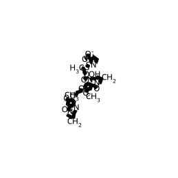 C=C1CC2C=Nc3cc(OCCCOc4cc5c(cc4OC)C(=O)N4CC(=C)CC4C(O)N5C(=O)OCC(C)SSc4ncccc4[N+](=O)[O-])c(OC)cc3C(=O)N2C1